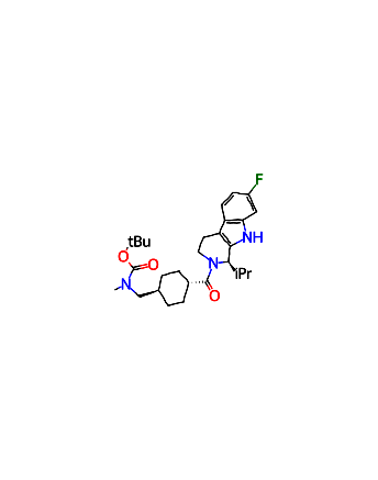 CC(C)[C@@H]1c2[nH]c3cc(F)ccc3c2CCN1C(=O)[C@H]1CC[C@H](CN(C)C(=O)OC(C)(C)C)CC1